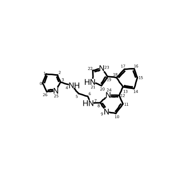 c1ccc(NCCNc2nccc(-c3ccccc3-c3c[nH]cn3)n2)nc1